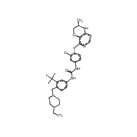 CCN1CCN(Cc2ccc(NC(=O)Nc3ccc(Oc4ncnc5c4OC[C@@H](C)N5)c(Cl)c3)cc2C(F)(F)F)CC1